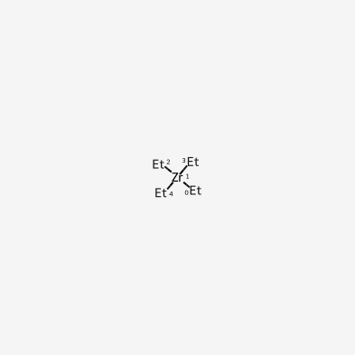 C[CH2][Zr]([CH2]C)([CH2]C)[CH2]C